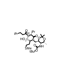 CSCC[C@@H](C(=O)O)N(C[C@H]1OC(C)(C)O[C@H](C)[C@@H]1NC(=O)OC(C)(C)C)C(=O)[C@H](NC(=O)CCC(C)C)C(C)C